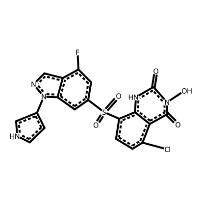 O=c1[nH]c2c(S(=O)(=O)c3cc(F)c4cnn(-c5cc[nH]c5)c4c3)ccc(Cl)c2c(=O)n1O